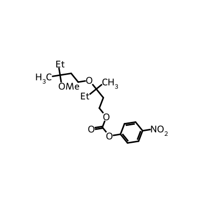 CCC(C)(CCOC(C)(CC)CCOC(=O)Oc1ccc([N+](=O)[O-])cc1)OC